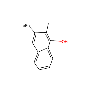 CCCCc1cc2ccccc2c(O)c1C